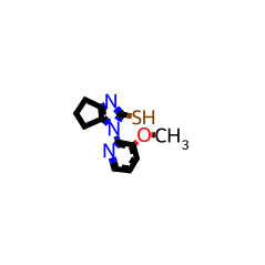 COc1cccnc1-n1c(S)nc2c1CCC2